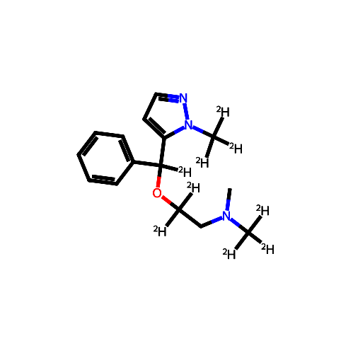 [2H]C([2H])(CN(C)C([2H])([2H])[2H])OC([2H])(c1ccccc1)c1ccnn1C([2H])([2H])[2H]